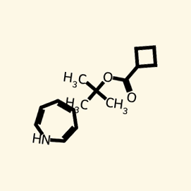 C1=CC=CNC=C1.CC(C)(C)OC(=O)C1CCC1